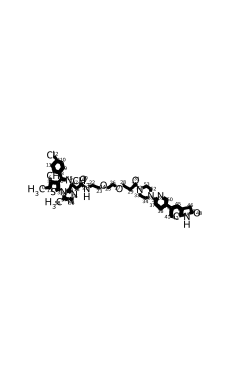 Cc1sc2c(c1C)C(c1ccc(Cl)cc1)=N[C@@](C)(CC(=O)NCCOCCOCCC(=O)N1CCN(c3ccc(-c4ccc5c(c4)CC(=O)N5)cn3)CC1)c1nnc(C)n1-2